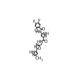 Cc1cc(-c2nnc(CNC(=O)c3cc(NC(=O)c4cc(F)c(F)cc4Cl)[nH]n3)o2)[nH]n1